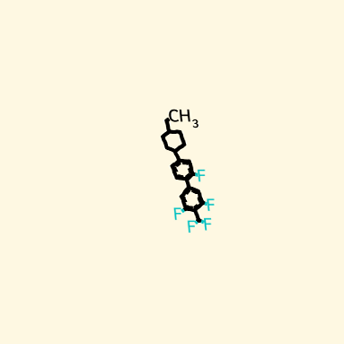 CCC1CCC(c2ccc(-c3cc(F)c(C(F)F)c(F)c3)c(F)c2)CC1